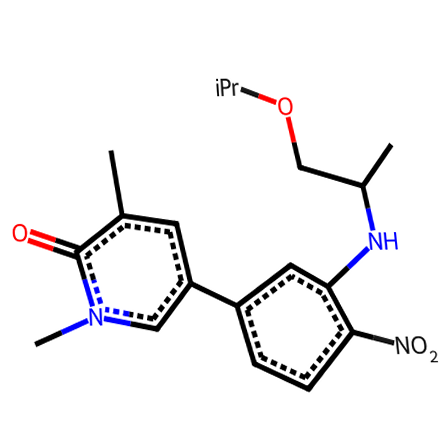 Cc1cc(-c2ccc([N+](=O)[O-])c(NC(C)COC(C)C)c2)cn(C)c1=O